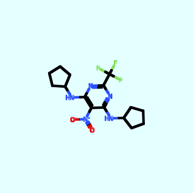 O=[N+]([O-])c1c(NC2CCCC2)nc(C(F)(F)F)nc1NC1CCCC1